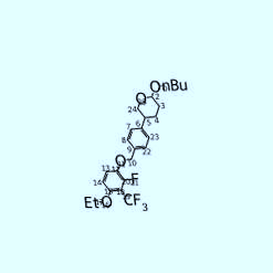 CCCCOC1CCC(c2ccc(COc3ccc(OCC)c(C(F)(F)F)c3F)cc2)CO1